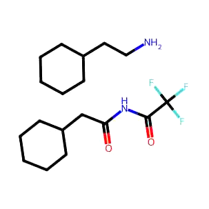 NCCC1CCCCC1.O=C(CC1CCCCC1)NC(=O)C(F)(F)F